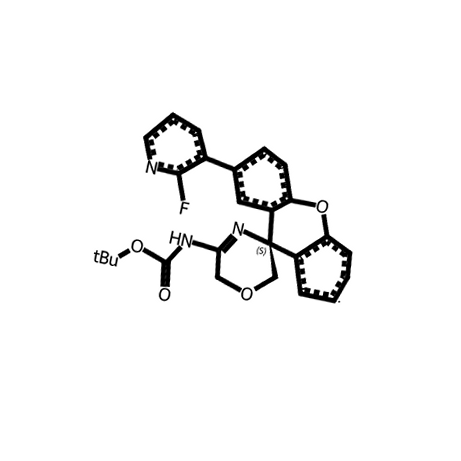 CC(C)(C)OC(=O)NC1=N[C@@]2(COC1)c1c[c]ccc1Oc1ccc(-c3cccnc3F)cc12